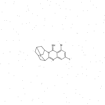 N=c1c2c(Br)cc(I)cc2nc2n1C1CC3CC(CC2C3)C1